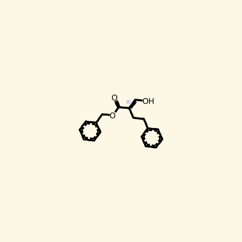 O=C(OCc1ccccc1)/C(=C/O)CCc1ccccc1